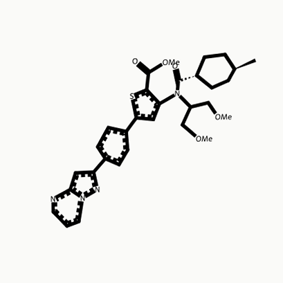 COCC(COC)N(c1cc(-c2ccc(-c3cc4ncccn4n3)cc2)sc1C(=O)OC)C(=O)[C@H]1CC[C@H](C)CC1